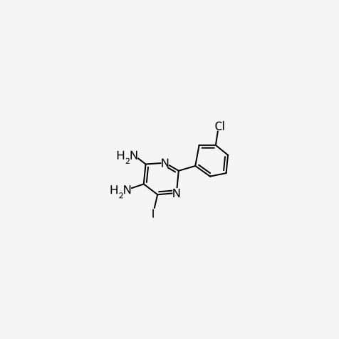 Nc1nc(-c2cccc(Cl)c2)nc(I)c1N